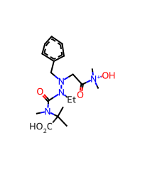 CCN(C(=O)N(C)C(C)(C)C(=O)O)N(CC(=O)[N+](C)(C)O)Cc1ccccc1